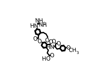 COc1ccc2c(c1)OC(=O)[C@@H](NC(=O)c1c(CCC(=O)O)ccc3c1OCCCc1cc(NC(=N)N)ccc1C(=O)O3)C2